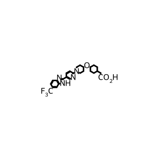 O=C(O)CC1CCC(OC2CCN(c3ccc(-c4nc5ccc(C(F)(F)F)cc5[nH]4)cn3)CC2)CC1